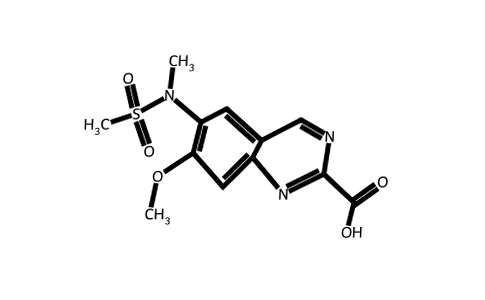 COc1cc2nc(C(=O)O)ncc2cc1N(C)S(C)(=O)=O